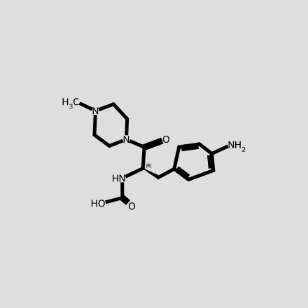 CN1CCN(C(=O)[C@@H](Cc2ccc(N)cc2)NC(=O)O)CC1